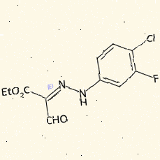 CCOC(=O)/C(C=O)=N/Nc1ccc(Cl)c(F)c1